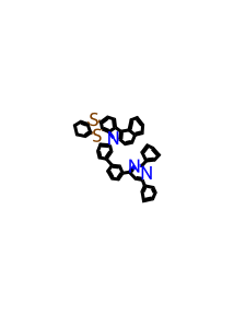 C1=C2Sc3ccc4c5c6ccccc6ccc5n(-c5cccc(-c6cccc(-c7cc(-c8ccccc8)nc(-c8ccccc8)n7)c6)c5)c4c3SC2=CCC1